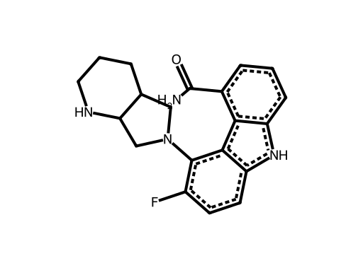 NC(=O)c1cccc2[nH]c3ccc(F)c(N4CC5CCCNC5C4)c3c12